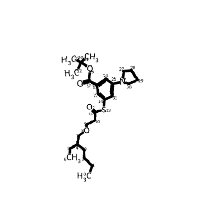 CCCCC(CC)COCCC(=O)Sc1cc(C(=O)OC(C)(C)C)cc(N2CCCC2)c1